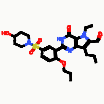 CCCOc1ccc(S(=O)(=O)N2CCC(O)CC2)cc1-c1nc2c(CCC)c(C=O)n(CC)c2c(=O)[nH]1